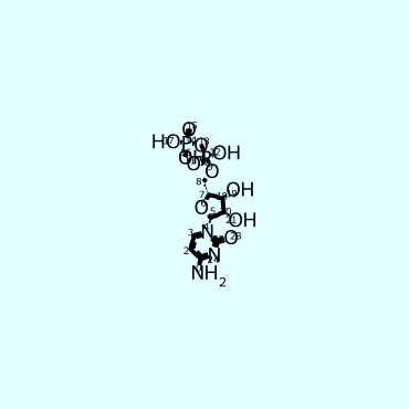 Nc1ccn([C@@H]2O[C@H](COP(=O)(O)OP(=O)(O)O)[C@H](O)[C@@H]2O)c(=O)n1